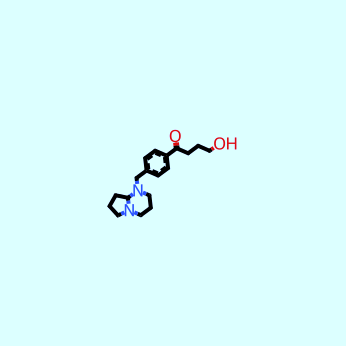 O=C(CCCO)c1ccc(CN2CCCN3CCCC32)cc1